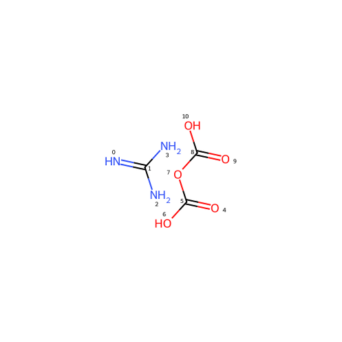 N=C(N)N.O=C(O)OC(=O)O